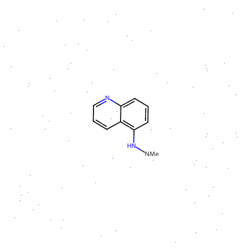 CNNc1cccc2ncccc12